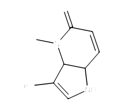 CC(C)C1=CNC2C=CC(=O)N(C)C12